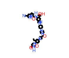 CCc1cc(N2CC(C(=O)N3CCN(C4CCC(n5cc6cc(NC(=O)c7ccc8cc(C#N)cnn78)c(C(C)(C)O)cc6n5)CC4)CC3)C2)ccc1N1CCC(=O)NC1=O